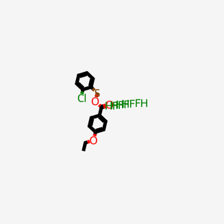 CCOc1ccc(C(=O)OSc2ccccc2Cl)cc1.F.F.F.F.F